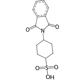 O=C1c2ccccc2C(=O)N1C1CCC(S(=O)(=O)O)CC1